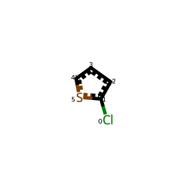 Clc1[c]c[c]s1